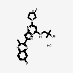 Cc1nc2ccc(F)cc2nc1-c1cc2nc(N3CC[C@@H](F)C3)cc(NCC(C)(C)O)n2n1.Cl